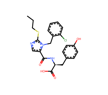 CCCSc1ncc(C(=O)N[C@@H](Cc2ccc(O)cc2)C(=O)O)n1Cc1ccccc1Cl